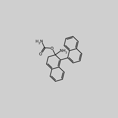 NC(=O)OC1(N)CC=c2ccccc2=C1c1cccc2ccccc12